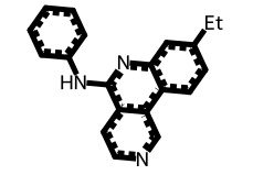 CCc1ccc2c(c1)nc(Nc1ccccc1)c1ccncc12